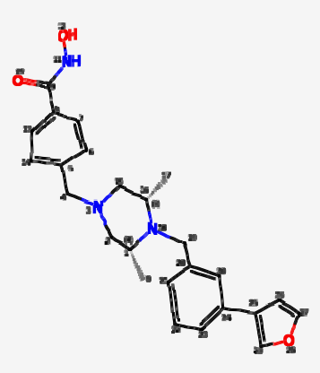 C[C@@H]1CN(Cc2ccc(C(=O)NO)cc2)C[C@H](C)N1Cc1cccc(-c2ccoc2)c1